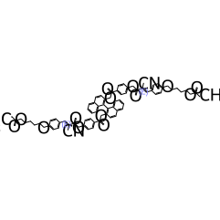 C=CC(=O)OCCCCOc1ccc(/C=C(\C#N)C(=O)Oc2ccc(C(=O)Oc3ccc4ccccc4c3-c3c(OC(=O)c4ccc(OC(=O)/C(C#N)=C/c5ccc(OCCCCOC(=O)C=C)cc5)cc4)ccc4ccccc34)cc2)cc1